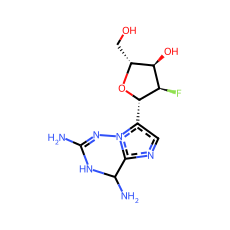 NC1=Nn2c([C@@H]3O[C@H](CO)[C@@H](O)[C@H]3F)cnc2C(N)N1